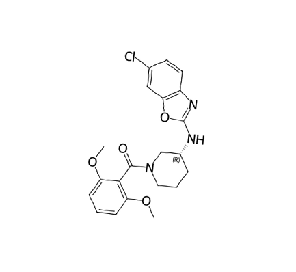 COc1cccc(OC)c1C(=O)N1CCC[C@@H](Nc2nc3ccc(Cl)cc3o2)C1